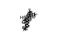 CC(C)(C)OC[C@@H](NC(=O)c1c(O)c2c(n(Cc3ccc(C(F)(F)F)cc3)c1=O)COC2)C(=O)OC(C)(C)C